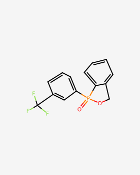 O=P1(c2cccc(C(F)(F)F)c2)OCc2ccccc21